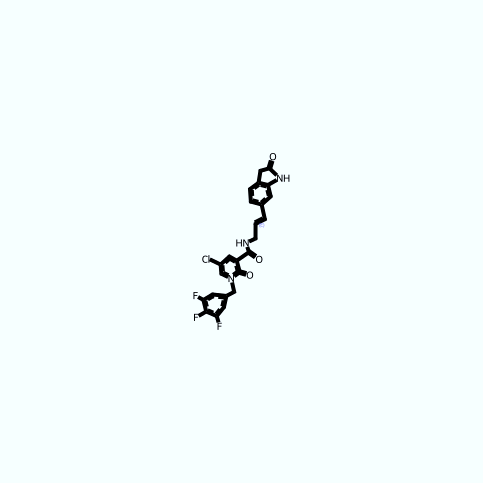 O=C1Cc2ccc(/C=C/CNC(=O)c3cc(Cl)cn(Cc4cc(F)c(F)c(F)c4)c3=O)cc2N1